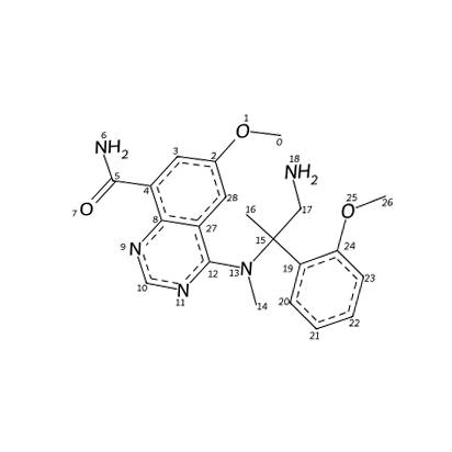 COc1cc(C(N)=O)c2ncnc(N(C)C(C)(CN)c3ccccc3OC)c2c1